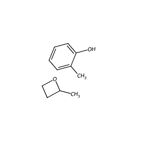 CC1CCO1.Cc1ccccc1O